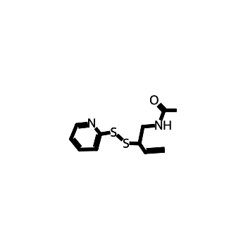 C=CC(CNC(C)=O)SSc1ccccn1